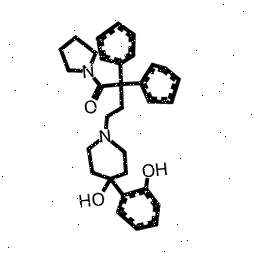 O=C(N1CCCC1)C(CCN1CCC(O)(c2ccccc2O)CC1)(c1ccccc1)c1ccccc1